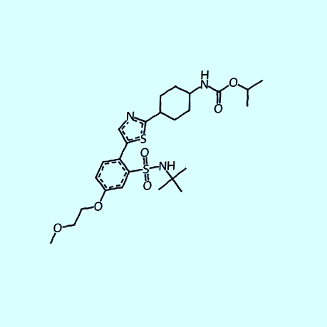 COCCOc1ccc(-c2cnc(C3CCC(NC(=O)OC(C)C)CC3)s2)c(S(=O)(=O)NC(C)(C)C)c1